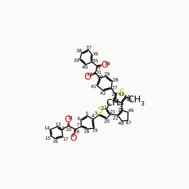 Cc1sc(-c2ccc(C(=O)C(=O)c3ccccc3)cc2)cc1C1=C(c2cc(-c3ccc(C(=O)C(=O)c4ccccc4)cc3)sc2C)CCC1